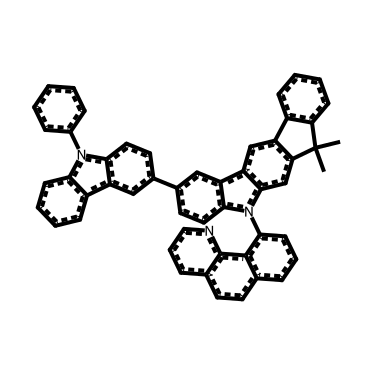 CC1(C)c2ccccc2-c2cc3c4cc(-c5ccc6c(c5)c5ccccc5n6-c5ccccc5)ccc4n(-c4cccc5ccc6cccnc6c45)c3cc21